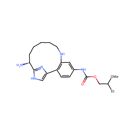 CCC(COC(=O)Nc1ccc2c(c1)NCCCCC[C@H](N)c1nc-2c[nH]1)OC